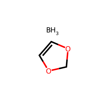 B.C1=COCO1